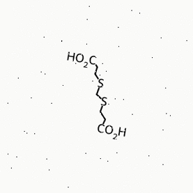 O=C(O)CCSCSCCC(=O)O